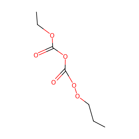 CCCOOC(=O)OC(=O)OCC